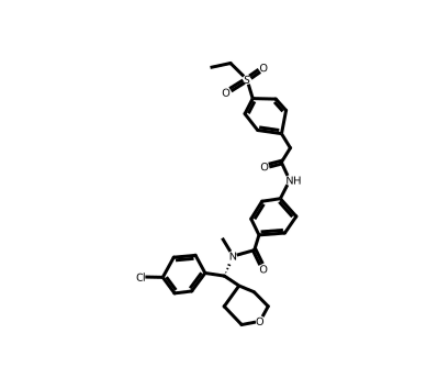 CCS(=O)(=O)c1ccc(CC(=O)Nc2ccc(C(=O)N(C)[C@@H](c3ccc(Cl)cc3)C3CCOCC3)cc2)cc1